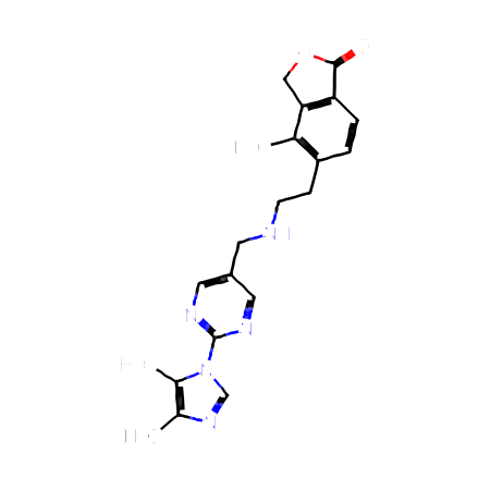 Cc1ncn(-c2ncc(CNCCc3ccc4c(c3C)COC4=O)cn2)c1C